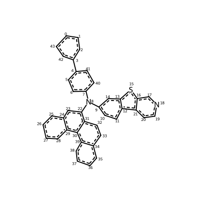 c1ccc(-c2ccc(N(c3ccc4c(c3)sc3cnccc34)c3cc4ccccc4c4c3ccc3ccccc34)cc2)cc1